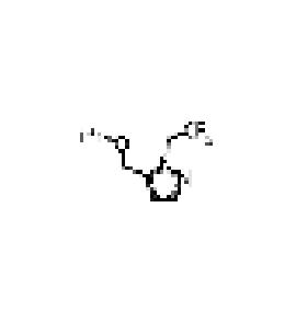 CC(C)OCc1ccnn1CC(F)(F)F